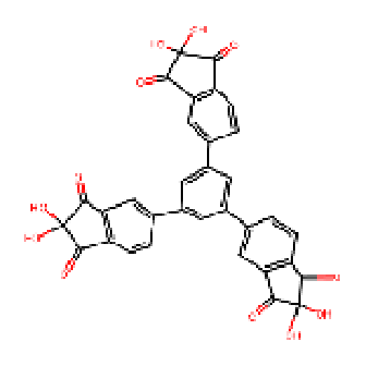 O=C1c2ccc(-c3cc(-c4ccc5c(c4)C(=O)C(O)(O)C5=O)cc(-c4ccc5c(c4)C(=O)C(O)(O)C5=O)c3)cc2C(=O)C1(O)O